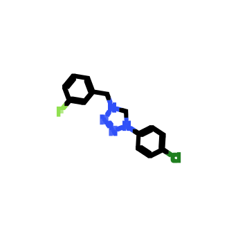 Fc1cccc(CN2CN(c3ccc(Cl)cc3)N=N2)c1